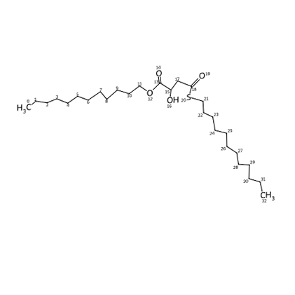 CCCCCCCCCCCCOC(=O)C(O)CC(=O)SCCCCCCCCCCCC